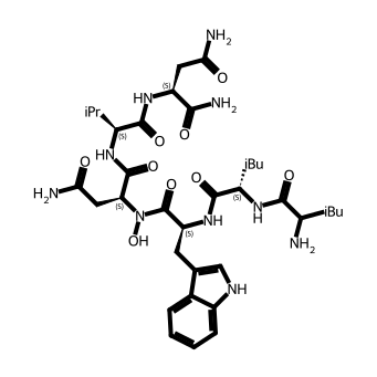 CCC(C)C(N)C(=O)N[C@H](C(=O)N[C@@H](Cc1c[nH]c2ccccc12)C(=O)N(O)[C@@H](CC(N)=O)C(=O)N[C@H](C(=O)N[C@@H](CC(N)=O)C(N)=O)C(C)C)C(C)CC